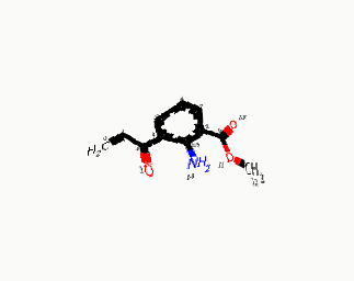 C=CC(=O)c1cccc(C(=O)OC)c1N